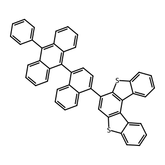 c1ccc(-c2c3ccccc3c(-c3ccc(-c4cc5sc6ccccc6c5c5c4sc4ccccc45)c4ccccc34)c3ccccc23)cc1